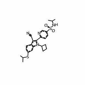 CC(C)NS(=O)(=O)c1ccc(-c2c(C#N)c3ccc(SC(C)C)cc3n2C2CCC2)nc1